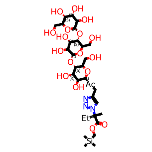 CCC(C)(C(=O)OC[Si](C)(C)C)n1cc([CH2][Ac][C@@H]2OC(CO)[C@@H](O[C@H]3OC(CO)[C@@H](O[C@H]4OC(CO)[C@@H](O)[C@H](O)C4O)[C@H](O)C3O)[C@H](O)C2O)nn1